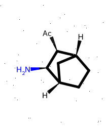 CC(=O)[C@H]1[C@@H]2CC[C@@H](C2)[C@H]1N